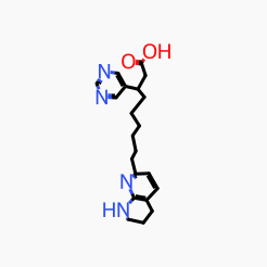 O=C(O)CC(CCCCCCc1ccc2c(n1)NCCC2)c1cncnc1